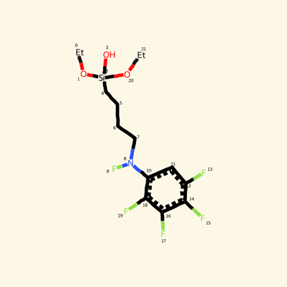 CCO[Si](O)(CCCCN(F)c1cc(F)c(F)c(F)c1F)OCC